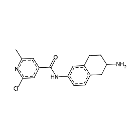 Cc1cc(C(=O)Nc2ccc3c(c2)CCC(N)C3)cc(Cl)n1